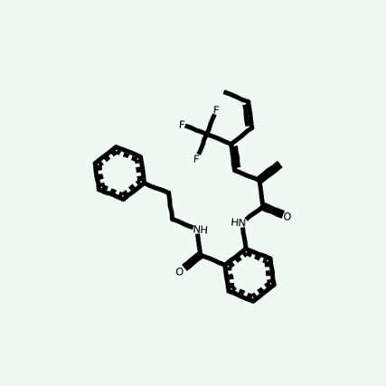 C=C(/C=C(\C=C/C)C(F)(F)F)C(=O)Nc1ccccc1C(=O)NCCc1ccccc1